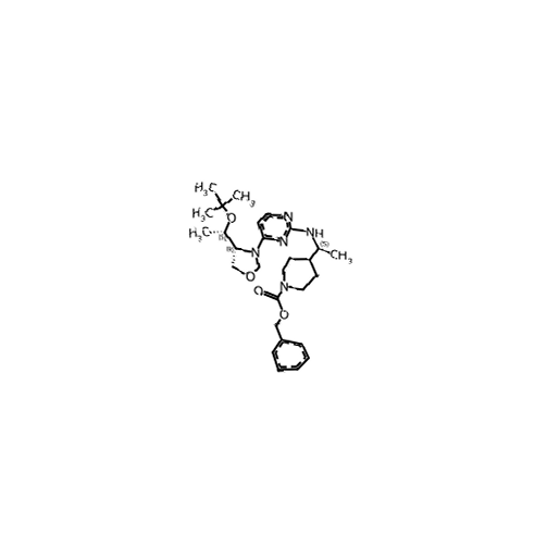 C[C@H](Nc1nccc(N2COC[C@@H]2[C@H](C)OC(C)(C)C)n1)C1CCN(C(=O)OCc2ccccc2)CC1